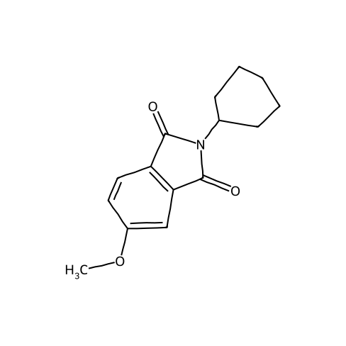 COc1ccc2c(c1)C(=O)N(C1CCCCC1)C2=O